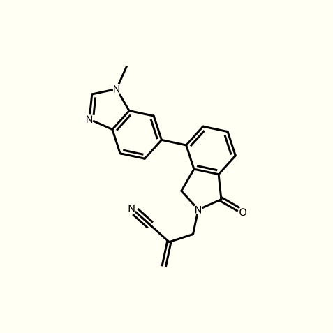 C=C(C#N)CN1Cc2c(cccc2-c2ccc3ncn(C)c3c2)C1=O